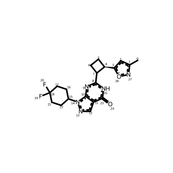 Cc1cc([C@@H]2CCC2c2nc3c(cnn3C3CCC(F)(F)CC3)c(=O)[nH]2)on1